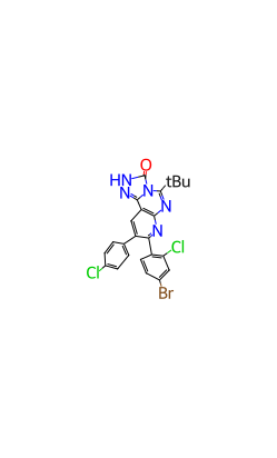 CC(C)(C)c1nc2nc(-c3ccc(Br)cc3Cl)c(-c3ccc(Cl)cc3)cc2c2n[nH]c(=O)n12